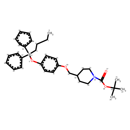 CCCC[Si](Oc1ccc(OCC2CCN(C(=O)OC(C)(C)C)CC2)cc1)(c1ccccc1)c1ccccc1